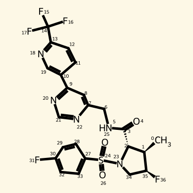 C[C@@H]1[C@@H](C(=O)NCc2cc(-c3ccc(C(F)(F)F)nc3)ncn2)N(S(=O)(=O)c2ccc(F)cc2)C[C@@H]1F